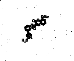 COc1cccc2cc(C(=O)Nc3cccc(-c4cnn(C)c4)c3)c(=O)oc12